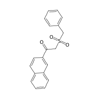 O=C(CS(=O)(=O)Cc1ccccc1)c1ccc2ccccc2c1